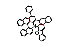 c1ccc(-c2ccc(N(c3ccc4ccccc4c3-c3cccc4ccccc34)c3cccc4c3oc3ccccc34)c(-c3ccc4ccccc4c3)c2)cc1